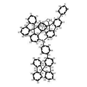 CC1(C)c2cc(-c3ccccc3)ccc2-c2ccc(N(c3ccc(-c4ccc5c(c4)C4(c6ccccc6-c6ccccc64)c4ccccc4-5)cc3)c3cccc4c3-c3ccccc3C43c4ccccc4-c4ccccc43)cc21